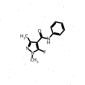 Cc1nn(C)c(F)c1C(=O)Nc1ccccc1